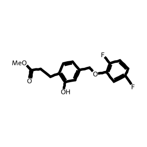 COC(=O)CCc1ccc(COc2cc(F)ccc2F)cc1O